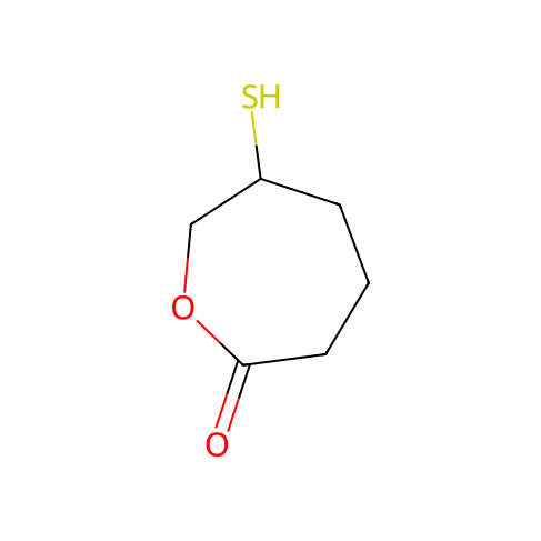 O=C1CCCC(S)CO1